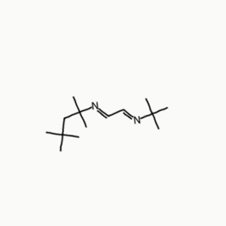 CC(C)(C)CC(C)(C)N=CC=NC(C)(C)C